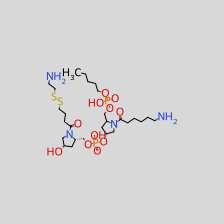 CCCCCOP(=O)(O)OCC1C[C@@H](OP(=O)(O)OC[C@@H]2C[C@@H](O)CN2C(=O)CCCSSCCN)CN1C(=O)CCCCCN